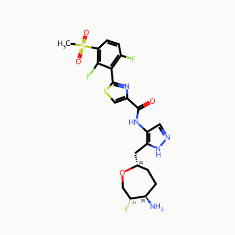 CS(=O)(=O)c1ccc(F)c(-c2nc(C(=O)Nc3cn[nH]c3C[C@@H]3CC[C@@H](N)[C@H](F)CO3)cs2)c1F